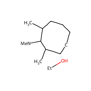 CCO.CNC1C(C)CCCCCC1C